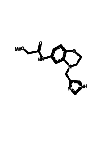 COCC(=O)Nc1ccc2c(c1)N(Cc1c[nH]cn1)CCO2